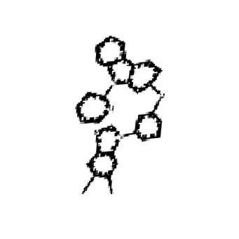 Cc1cc2ncn(-c3cccc(Oc4ccc5c6ccccc6n(-c6ccccn6)c5c4)c3)c2cc1C